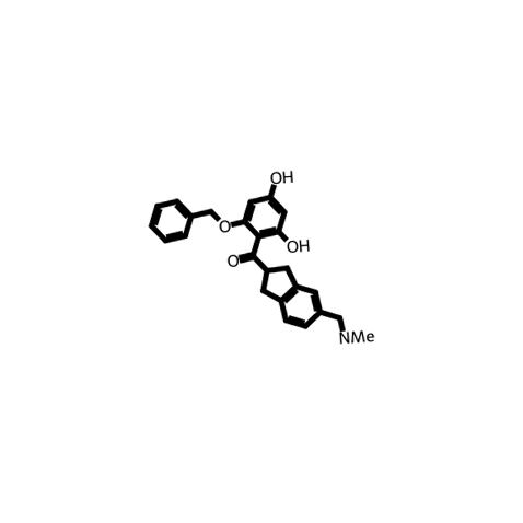 CNCc1ccc2c(c1)CC(C(=O)c1c(O)cc(O)cc1OCc1ccccc1)C2